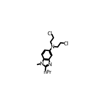 CCCc1nc2cc(N(CCCl)CCCl)ccc2n1C